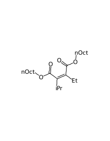 CCCCCCCCOC(=O)/C(CC)=C(\C(=O)OCCCCCCCC)C(C)C